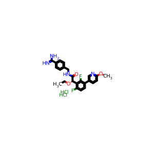 CCO[C@H](C(=O)NCc1ccc(C(=N)N)cc1)c1c(F)ccc(-c2ccc(OC)nc2)c1F.Cl.Cl